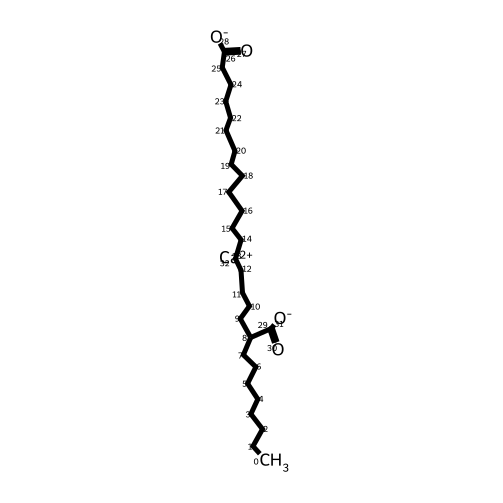 CCCCCCCCC(CCCCCCCCCCCCCCCCCC(=O)[O-])C(=O)[O-].[Ca+2]